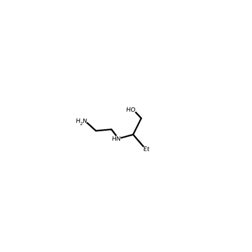 CCC(CO)NCCN